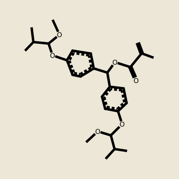 C=C(C)C(=O)OC(c1ccc(OC(OC)C(C)C)cc1)c1ccc(OC(OC)C(C)C)cc1